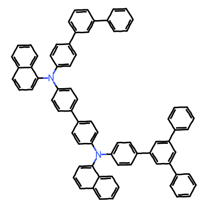 c1ccc(-c2cccc(-c3ccc(N(c4ccc(-c5ccc(N(c6ccc(-c7cc(-c8ccccc8)cc(-c8ccccc8)c7)cc6)c6cccc7ccccc67)cc5)cc4)c4cccc5ccccc45)cc3)c2)cc1